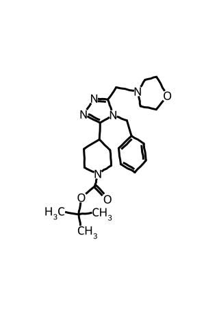 CC(C)(C)OC(=O)N1CCC(c2nnc(CN3CCOCC3)n2Cc2ccccc2)CC1